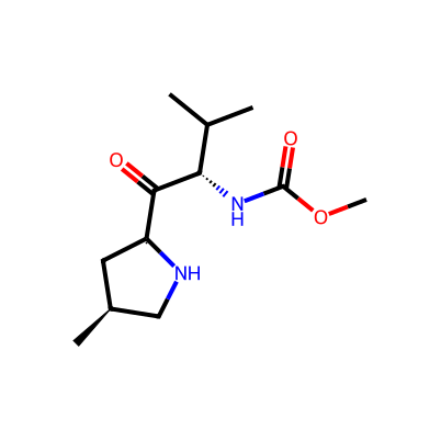 COC(=O)N[C@H](C(=O)[C]1C[C@H](C)CN1)C(C)C